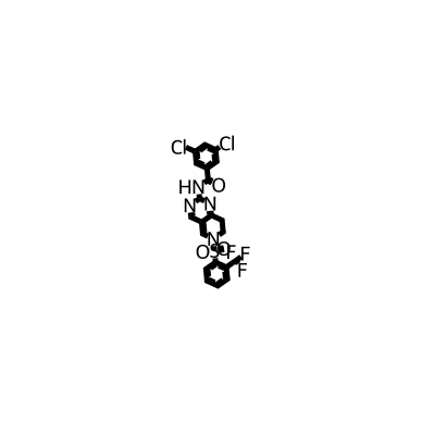 O=C(NC1N=CC2=CN(S(=O)(=O)c3ccccc3C(F)(F)F)CCC2=N1)c1cc(Cl)cc(Cl)c1